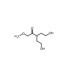 COCC(=O)N(CCO)CCO